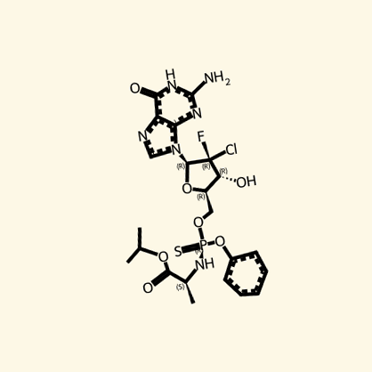 CC(C)OC(=O)[C@H](C)N[P@@](=S)(OC[C@H]1O[C@@H](n2cnc3c(=O)[nH]c(N)nc32)[C@](F)(Cl)[C@@H]1O)Oc1ccccc1